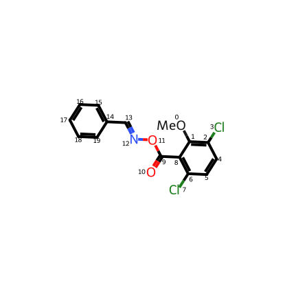 COc1c(Cl)ccc(Cl)c1C(=O)O/N=C/c1ccccc1